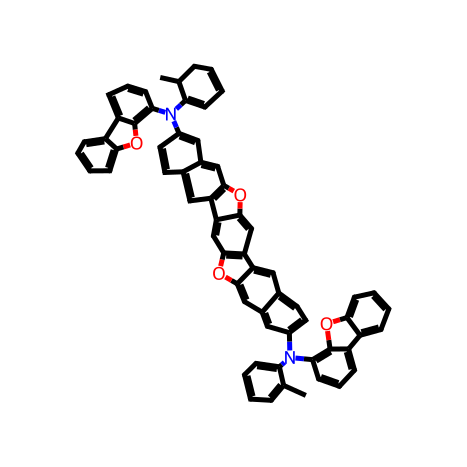 Cc1ccccc1N(c1ccc2cc3c(cc2c1)oc1cc2c(cc13)oc1cc3cc(N(C4=CC=CCC4C)c4cccc5c4oc4ccccc45)ccc3cc12)c1cccc2c1oc1ccccc12